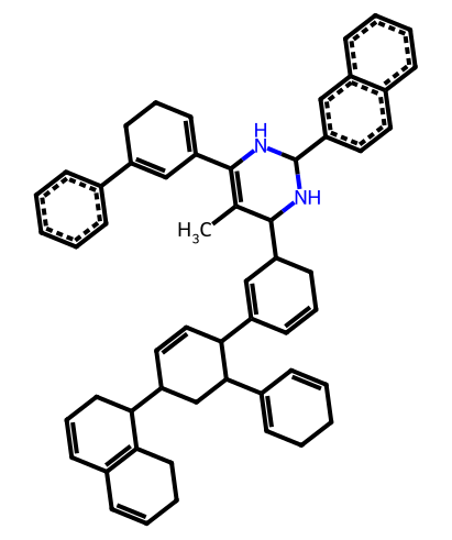 CC1=C(C2=CCCC(c3ccccc3)=C2)NC(c2ccc3ccccc3c2)NC1C1C=C(C2C=CC(C3CC=CC4=C3CCC=C4)CC2C2=CCCC=C2)C=CC1